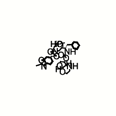 Cc1nc2ccc(S(=O)(=O)N(CC(C)C)C[C@@H](O)[C@H](Cc3ccccc3)NC(=O)O[C@@H]3CO[C@@H]4OCCN[C@@H]43)cc2o1